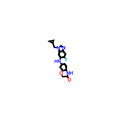 O=C1COc2cc(Nc3cc4c(cc3F)ncn4CC3CC3)ccc2N1